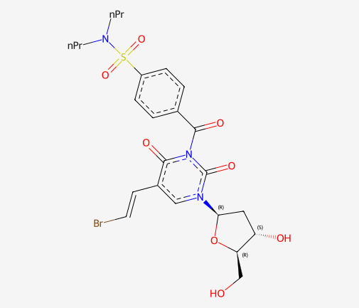 CCCN(CCC)S(=O)(=O)c1ccc(C(=O)n2c(=O)c(C=CBr)cn([C@H]3C[C@H](O)[C@@H](CO)O3)c2=O)cc1